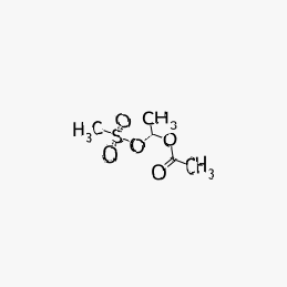 CC(=O)OC(C)OS(C)(=O)=O